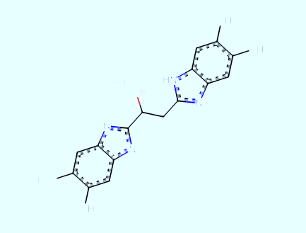 Cc1cc2nc(CC(O)c3nc4cc(C)c(C)cc4[nH]3)[nH]c2cc1C.Cl